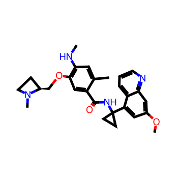 CNc1cc(C)c(C(=O)NC2(c3cc(OC)cc4ncccc34)CC2)cc1OC[C@@H]1CCN1C